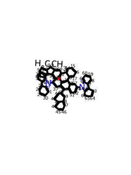 CC1(C)c2ccccc2-c2ccc(-c3ccccc3-c3c4ccc(-n5c6c(c7ccccc75)CCC=C6)cc4c(-c4ccc5ccccc5c4)c4ccc(-n5c6c(c7ccccc75)C=CCC6)cc34)cc21